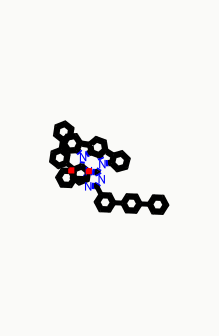 c1ccc(-c2ccc(-c3cccc(-c4nc(-c5ccccc5)nc(-n5c6ccccc6c6ccc7c8ccccc8n(-c8ccccc8-c8cccc(-c9ccccc9)c8)c7c65)n4)c3)cc2)cc1